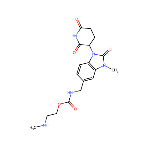 CNCCOC(=O)NCc1ccc2c(c1)n(C)c(=O)n2C1CCC(=O)NC1=O